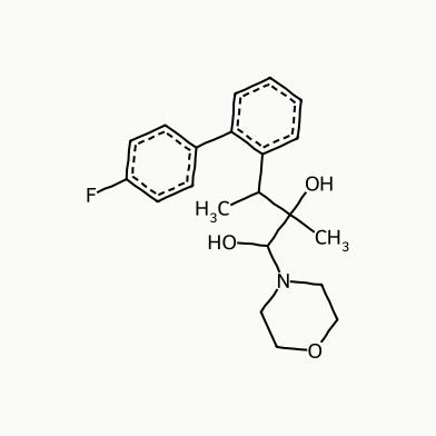 CC(c1ccccc1-c1ccc(F)cc1)C(C)(O)C(O)N1CCOCC1